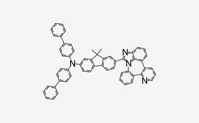 CC1(C)c2cc(-c3nc4cccc5c4n3-c3ccccc3-c3ncccc3-5)ccc2-c2ccc(N(c3ccc(-c4ccccc4)cc3)c3ccc(-c4ccccc4)cc3)cc21